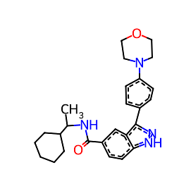 CC(NC(=O)c1ccc2[nH]nc(-c3ccc(N4CCOCC4)cc3)c2c1)C1CCCCC1